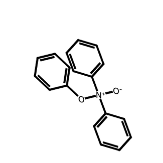 [O-][N+](Oc1ccccc1)(c1ccccc1)c1ccccc1